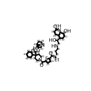 CCN(CCCNCC(O)c1ccc(O)c2[nH]c(=O)ccc12)C(=O)c1ccc(C(=O)N2CCC(C(=O)O[C@H]3CN4CCC3CC4)(c3ccccc3)CC2)s1